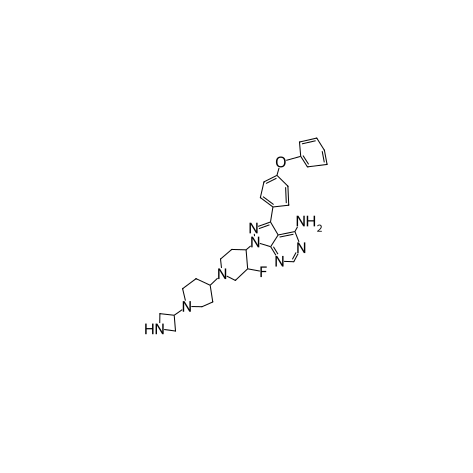 Nc1ncnc2c1c(-c1ccc(Oc3ccccc3)cc1)nn2C1CCN(C2CCN(C3CNC3)CC2)CC1F